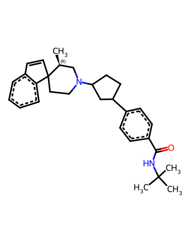 C[C@H]1CN(C2CCC(c3ccc(C(=O)NC(C)(C)C)cc3)C2)CCC12C=Cc1ccccc12